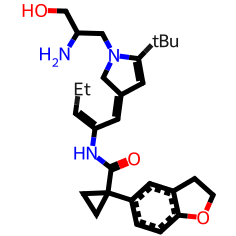 CC/C=C(\C=C1\C=C(C(C)(C)C)N(CC(N)CO)C1)NC(=O)C1(c2ccc3c(c2)CCO3)CC1